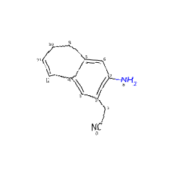 N#CCc1cc2c(cc1N)CCC=C2